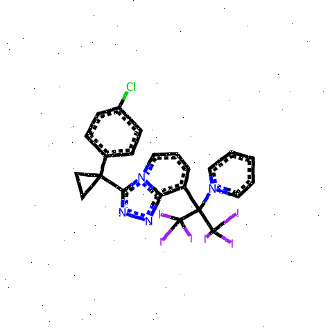 Clc1ccc(C2(c3nnc4c(C([n+]5ccccc5)(C(I)(I)I)C(I)(I)I)cccn34)CC2)cc1